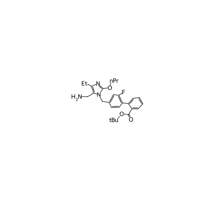 CCCOc1nc(CC)c(CN)n1Cc1ccc(-c2ccccc2C(=O)OC(C)(C)C)c(F)c1